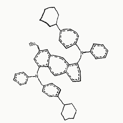 CC(C)(C)c1cc(N(c2ccccc2)c2ccc(C3CCCCC3)cc2)c2cc3cccc(N(c4ccccc4)c4ccc(C5CCCCC5)cc4)c3cc2c1